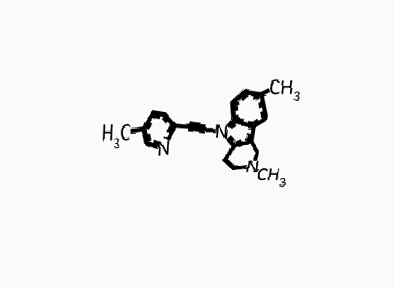 Cc1ccc(C#Cn2c3c(c4cc(C)ccc42)CN(C)CC3)nc1